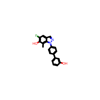 Cc1c(O)c(F)cc2cnn(-c3ccc(-c4cccc(O)c4)cc3)c12